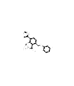 COc1c(-c2cocn2)ccc(CSc2ccccc2)c1C(=O)O